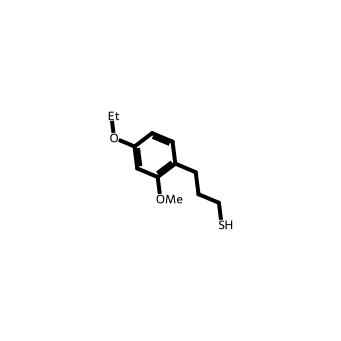 CCOc1ccc(CCCS)c(OC)c1